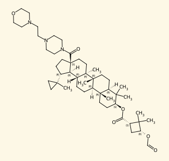 CC1([C@@H]2CC[C@]3(C(=O)N4CCN(CCN5CCOCC5)CC4)CC[C@]4(C)[C@H](CC[C@@H]5[C@@]6(C)CC[C@H](OC(=O)[C@H]7C[C@@H](OC=O)C7(C)C)C(C)(C)[C@@H]6CC[C@]54C)[C@@H]23)CC1